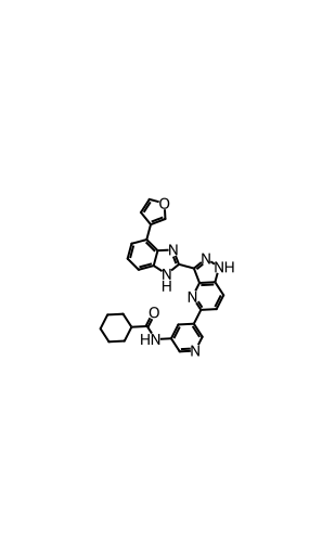 O=C(Nc1cncc(-c2ccc3[nH]nc(-c4nc5c(-c6ccoc6)cccc5[nH]4)c3n2)c1)C1CCCCC1